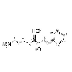 Cl.NCCCCNC(=O)C=Cc1ccccc1